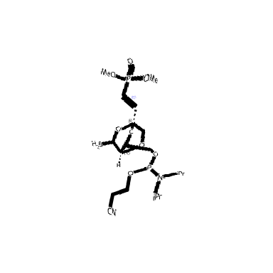 BC1O[C@@]2(/C=C/P(=O)(OC)OC)CO[C@@H]1C(OP(OCCC#N)N(C(C)C)C(C)C)C2